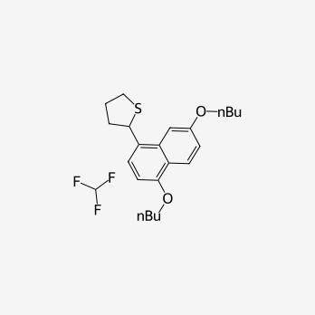 CCCCOc1ccc2c(OCCCC)ccc(C3CCCS3)c2c1.FC(F)F